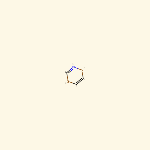 [C]1=NSC=CS1